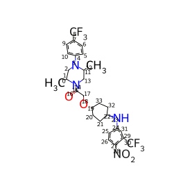 CC1CN(c2ccc(C(F)(F)F)cc2)C(C)CN1C(=O)CO[C@H]1CC[C@H](Nc2ccc([N+](=O)[O-])c(C(F)(F)F)c2)CC1